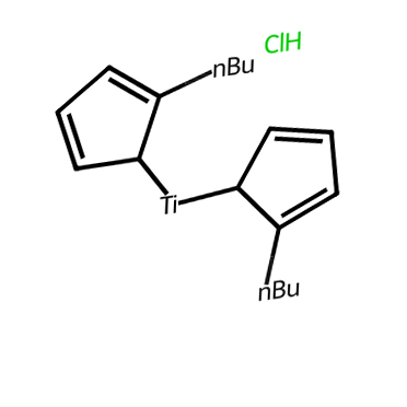 CCCCC1=CC=C[CH]1[Ti][CH]1C=CC=C1CCCC.Cl